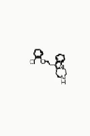 Clc1ccccc1OCCc1c2n(c3ccccc13)CCNCC2